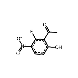 CC(=O)c1c(O)ccc([N+](=O)[O-])c1F